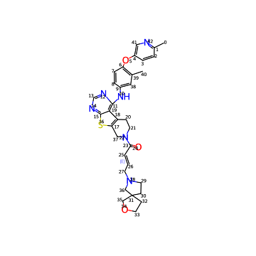 Cc1ccc(Oc2ccc(Nc3ncnc4sc5c(c34)CCN(C(=O)/C=C/CN3CCC4(CCOC4)C3)C5)cc2C)cn1